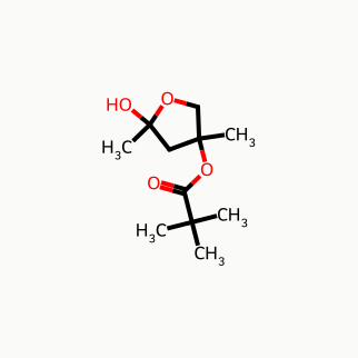 CC1(O)CC(C)(OC(=O)C(C)(C)C)CO1